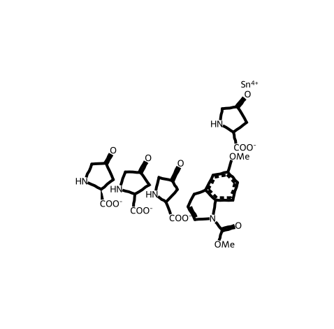 COC(=O)N1C=CCc2cc(OC)ccc21.O=C1CNC(C(=O)[O-])C1.O=C1CNC(C(=O)[O-])C1.O=C1CNC(C(=O)[O-])C1.O=C1CN[C@H](C(=O)[O-])C1.[Sn+4]